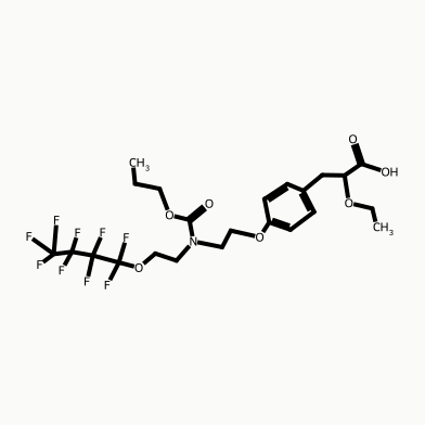 CCCOC(=O)N(CCOc1ccc(CC(OCC)C(=O)O)cc1)CCOC(F)(F)C(F)(F)C(F)(F)C(F)(F)F